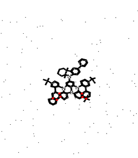 CC(C)(C)c1ccc(N2c3cc(-c4ccccc4)ccc3B3c4ccc(C(C)(C)C)cc4N(c4ccc(C(C)(C)C)cc4-c4ccccc4)c4cc(N5c6ccc(-c7ccccc7)cc6C6(C)CCCCC56C)cc2c43)c(-c2ccccc2)c1